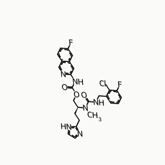 CN(C(=O)NCc1cccc(F)c1Cl)[C@@H](CCc1ncc[nH]1)COC(=O)Nc1cc2cc(F)ccc2cn1